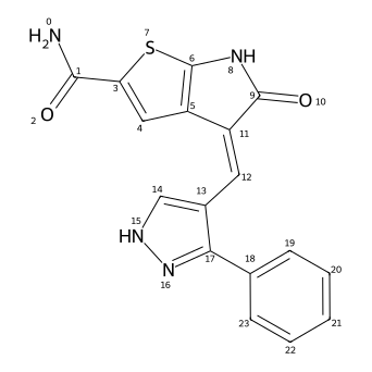 NC(=O)c1cc2c(s1)NC(=O)/C2=C/c1c[nH]nc1-c1ccccc1